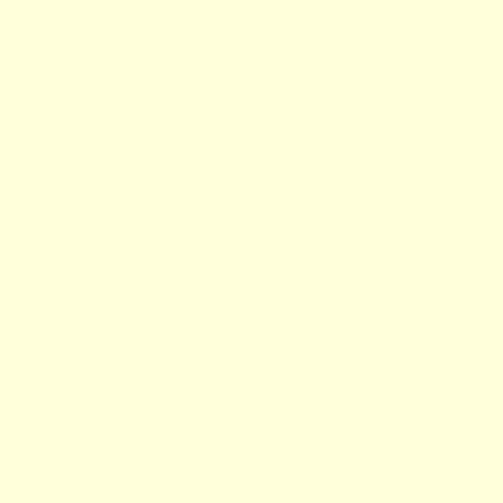 c1ccc2cc3c(cc2c1)oc1ccc(-c2cccc4c(-c5ccc6oc7cc8ccccc8cc7c6c5)c5cccc(-c6ccc7oc8cc9ccccc9cc8c7c6)c5cc24)cc13